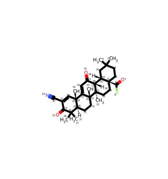 CC1(C)CC[C@]2(C(=O)F)CC[C@]3(C)[C@H](C(=O)C=C4[C@@]5(C)C=C(C#N)C(=O)C(C)(C)[C@@H]5CC[C@]43C)[C@@H]2C1